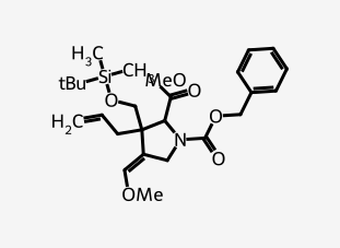 C=CCC1(CO[Si](C)(C)C(C)(C)C)C(=COC)CN(C(=O)OCc2ccccc2)C1C(=O)OC